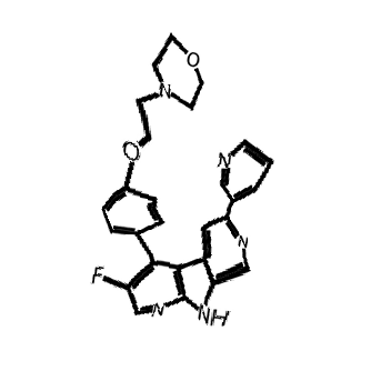 Fc1cnc2[nH]c3cnc(-c4cccnc4)cc3c2c1-c1ccc(OCCN2CCOCC2)cc1